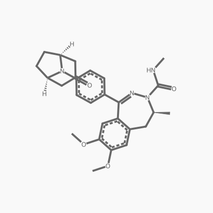 CNC(=O)N1N=C(c2ccc(N3[C@@H]4CC[C@H]3CC(=O)C4)cc2)c2cc(OC)c(OC)cc2C[C@@H]1C